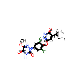 COc1nn(-c2cc(Cl)c(Oc3cc(C(C)C)c(=O)[nH]n3)c(Cl)c2)c(=O)[nH]c1=O